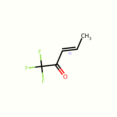 C/C=C/C(=O)C(F)(F)F